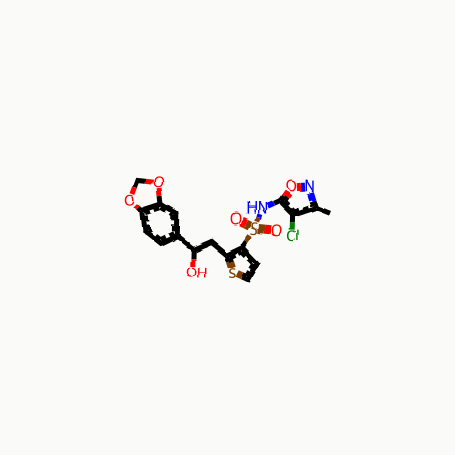 Cc1noc(NS(=O)(=O)c2ccsc2CC(O)c2ccc3c(c2)OCO3)c1Cl